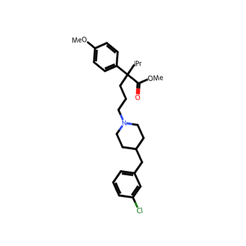 COC(=O)C(CCCN1CCC(Cc2cccc(Cl)c2)CC1)(c1ccc(OC)cc1)C(C)C